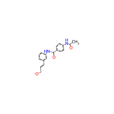 CC(=O)Nc1ccc(C(=O)Nc2cccc(C=CC[O])c2)cc1